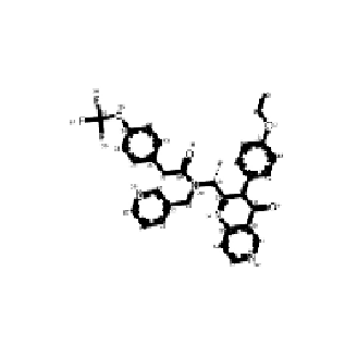 CCOc1ccc(C2C(=O)c3cnccc3N=C2[C@@H](C)N(Cc2cccnc2)C(=O)Cc2ccc(OC(F)(F)F)cc2)cc1